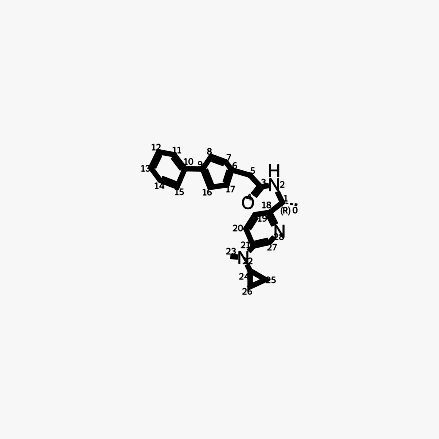 C[C@@H](NC(=O)Cc1ccc(-c2ccccc2)cc1)c1ccc(N(C)C2CC2)cn1